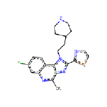 Fc1ccc2c(c1)nc(C(F)(F)F)c1nc(-c3nccs3)n(CCC3CCNCC3)c12